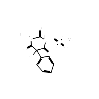 CCC1(c2ccccc2)C(=O)NC(=O)N(C)C1=O.O=S(=O)([O-])[O-].[Mg+2]